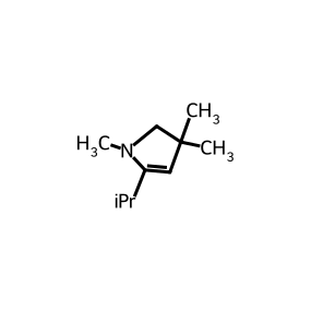 CC(C)C1=CC(C)(C)CN1C